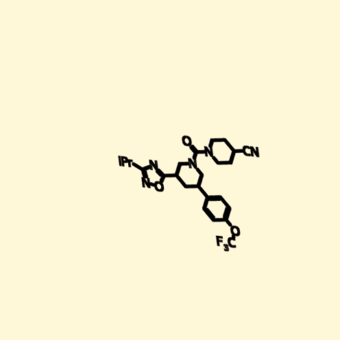 CC(C)c1noc(C2CC(c3ccc(OC(F)(F)F)cc3)CN(C(=O)N3CCC(C#N)CC3)C2)n1